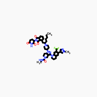 CCCCCC(Cc1cccc2c1C(=O)N(C1CCC(=O)NC1=O)C2=O)N1CCC(n2nc(N3CCCc4cc(-c5cnn(C)c5)c(C(F)F)cc43)c3c2CCN(C(=O)NC)C3)CC1